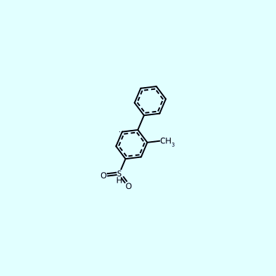 Cc1cc([SH](=O)=O)c[c]c1-c1ccccc1